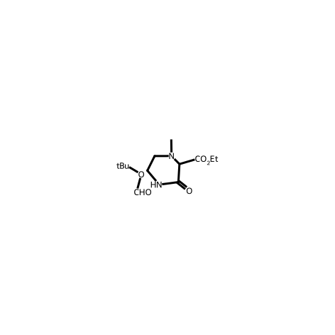 CC(C)(C)OC=O.CCOC(=O)C1C(=O)NCCN1C